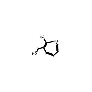 CCCCC1=C(CO)C=CC=CN1